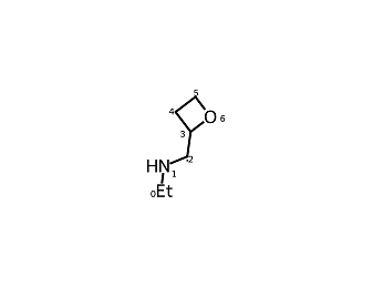 CCN[CH]C1CCO1